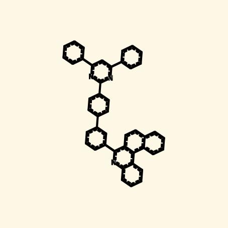 c1ccc(-c2cc(-c3ccccc3)nc(-c3ccc(-c4cccc(-c5nc6ccccc6c6c5ccc5ccccc56)c4)cc3)n2)cc1